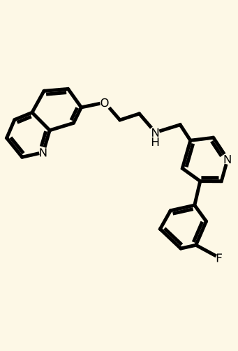 Fc1cccc(-c2cncc(CNCCOc3ccc4cccnc4c3)c2)c1